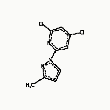 Cc1ccn(-c2cc(Cl)cc(Cl)n2)n1